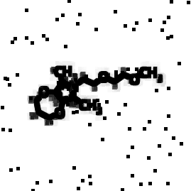 COCCOCCn1c(C)c2c(c1C)OCCCO2